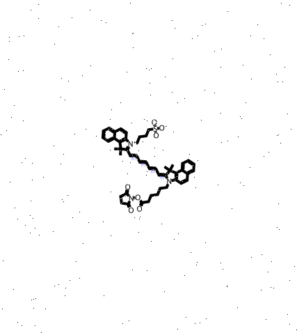 CC1(C)C(/C=C/C=C/C=C/C=C2/N(CCCCCC(=O)ON3C(=O)CCC3=O)c3ccc4ccccc4c3C2(C)C)=[N+](CCCCS(=O)(=O)[O-])c2ccc3ccccc3c21